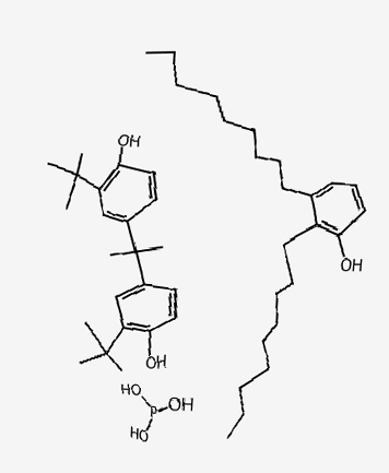 CC(C)(C)c1cc(C(C)(C)c2ccc(O)c(C(C)(C)C)c2)ccc1O.CCCCCCCCCc1cccc(O)c1CCCCCCCCC.OP(O)O